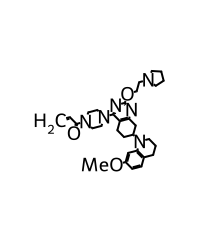 C=CC(=O)N1CCN(c2nc(OCCN3CCCC3)nc3c2CCC(N2CCCc4ccc(OC)cc42)C3)CC1